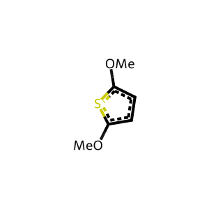 COc1ccc(OC)s1